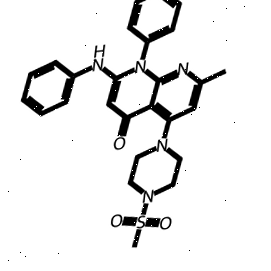 Cc1cc(N2CCN(S(C)(=O)=O)CC2)c2c(=O)cc(Nc3ccccc3)n(-c3ccccc3)c2n1